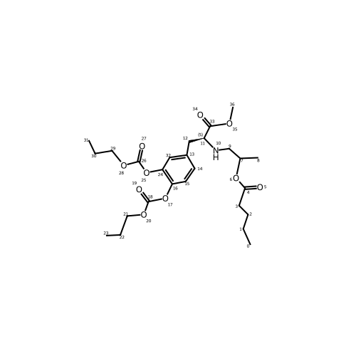 CCCCC(=O)OC(C)CN[C@@H](Cc1ccc(OC(=O)OCCC)c(OC(=O)OCCC)c1)C(=O)OC